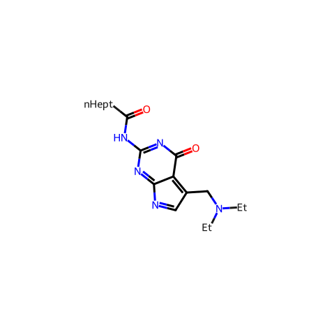 CCCCCCCC(=O)NC1=NC(=O)C2=C(CN(CC)CC)C=NC2=N1